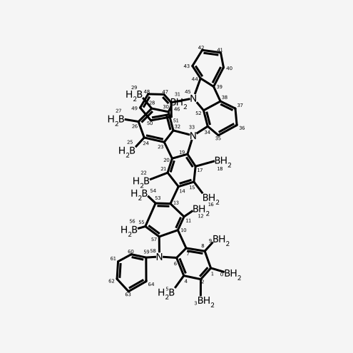 Bc1c(B)c(B)c2c(c1B)c1c(B)c(-c3c(B)c(B)c4c(c3B)c3c(B)c(B)c(B)c(B)c3n4-c3cccc4c5ccccc5n(-c5ccccc5)c34)c(B)c(B)c1n2-c1ccccc1